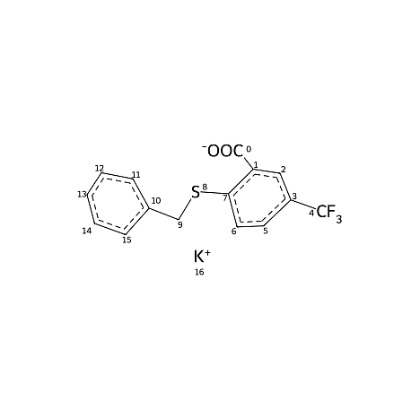 O=C([O-])c1cc(C(F)(F)F)ccc1SCc1ccccc1.[K+]